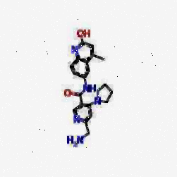 Cc1cc(O)nc2ccc(NC(=O)c3cnc(CN)cc3N3CCCC3)cc12